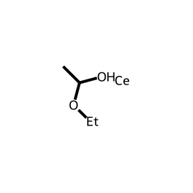 CCOC(C)O.[Ce]